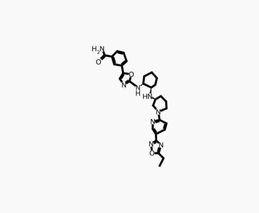 CCc1nc(-c2ccc(N3CCC[C@H](N[C@@H]4CCCC[C@H]4Nc4ncc(-c5cccc(C(N)=O)c5)o4)C3)nc2)no1